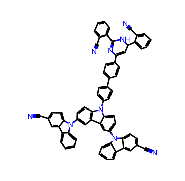 N#Cc1ccc2c(c1)c1ccccc1n2-c1ccc2c(c1)c1cc(-n3c4ccccc4c4cc(C#N)ccc43)ccc1n2-c1ccc(-c2ccc(C3=CC(c4ccccc4C#N)NC(c4ccccc4C#N)=N3)cc2)cc1